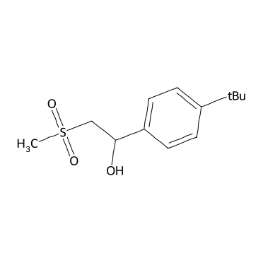 CC(C)(C)c1ccc(C(O)CS(C)(=O)=O)cc1